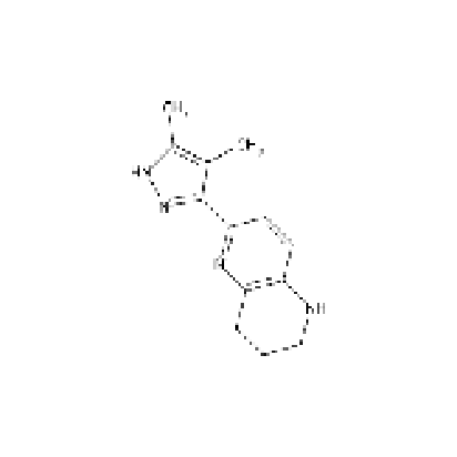 Cc1[nH]nc(-c2ccc3c(n2)CCCN3)c1C